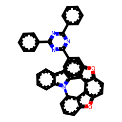 c1ccc(-c2nc(-c3ccccc3)nc(-c3ccc4c(c3)oc3ccc5oc6cccc(-n7c8ccccc8c8ccccc87)c6c5c34)n2)cc1